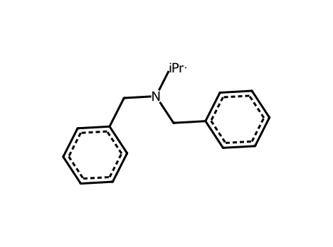 C[C](C)N(Cc1ccccc1)Cc1ccccc1